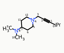 CC(C)C#CCN1CCC(N(C)C)CC1